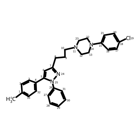 Cc1ccc(-c2cc(CCCN3CCN(c4ccc(Cl)cc4)CC3)nn2-c2ccccc2)cc1